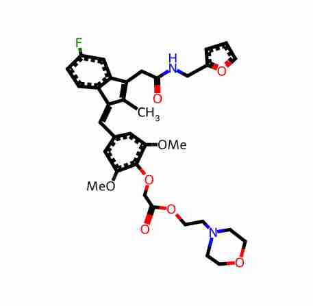 COc1cc(C=C2C(C)=C(CC(=O)NCc3ccco3)c3cc(F)ccc32)cc(OC)c1OCC(=O)OCCN1CCOCC1